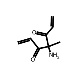 C=CC(=O)C(C)(N)C(=O)C=C